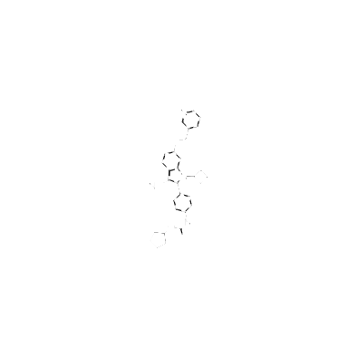 N#Cc1c(-c2ccc(NC(=O)OC3CCCC3)cc2)n(C2CCC2)c2cc(OCc3cccnc3)ccc12